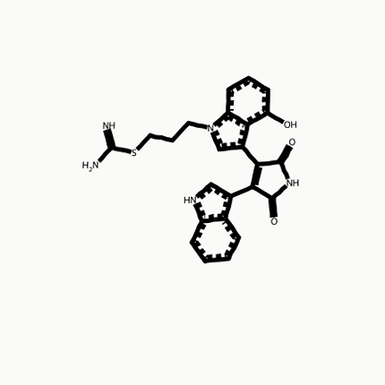 N=C(N)SCCCn1cc(C2=C(c3c[nH]c4ccccc34)C(=O)NC2=O)c2c(O)cccc21